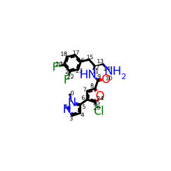 Cn1nccc1-c1cc(C(=O)N[C@H](CN)Cc2ccc(F)c(F)c2)oc1Cl